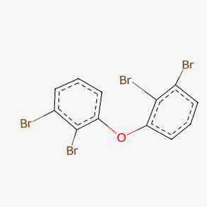 Brc1cccc(Oc2cccc(Br)c2Br)c1Br